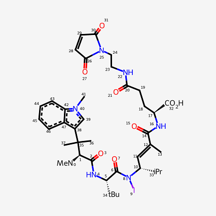 CN[C@H](C(=O)N[C@H](C(=O)N(I)[C@H](/C=C(\C)C(=O)N[C@@H](CCC(=O)NCCN1C(=O)C=CC1=O)C(=O)O)C(C)C)C(C)(C)C)C(C)(C)c1cn(C)c2ccccc12